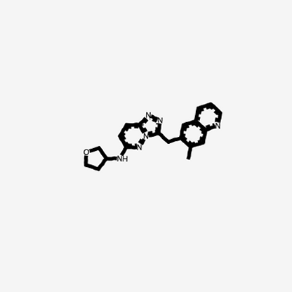 Cc1cc2ncccc2cc1Cc1nnc2ccc(NC3CCOC3)nn12